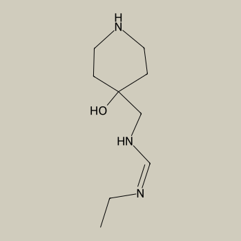 CC/N=C\NCC1(O)CCNCC1